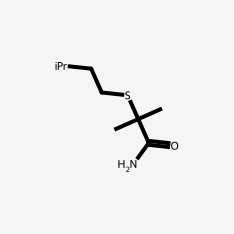 CC(C)CCSC(C)(C)C(N)=O